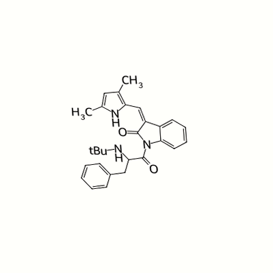 Cc1cc(C)c(/C=C2\C(=O)N(C(=O)C(Cc3ccccc3)NC(C)(C)C)c3ccccc32)[nH]1